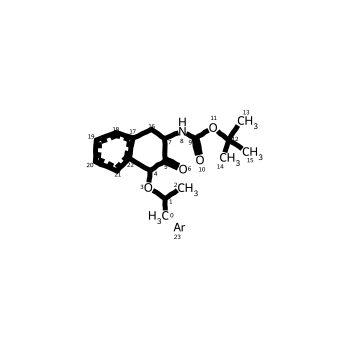 CC(C)OC1C(=O)C(NC(=O)OC(C)(C)C)Cc2ccccc21.[Ar]